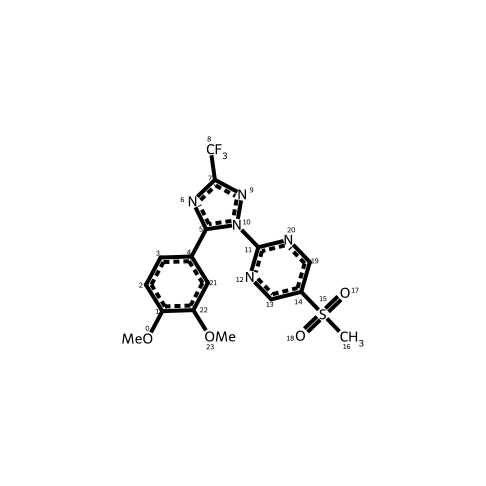 COc1ccc(-c2nc(C(F)(F)F)nn2-c2ncc(S(C)(=O)=O)cn2)cc1OC